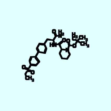 CCS(=O)(=O)c1ccc(-c2ccc(C[C@H](NC(=O)[C@@H]3CCCCN3C(=O)OC(C)(C)C)C(N)=O)cc2)cc1